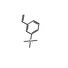 C=Cc1ccc[c]([Sn]([CH3])([CH3])[CH3])c1